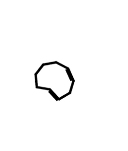 C1=C\CCCC/C=C/C/1